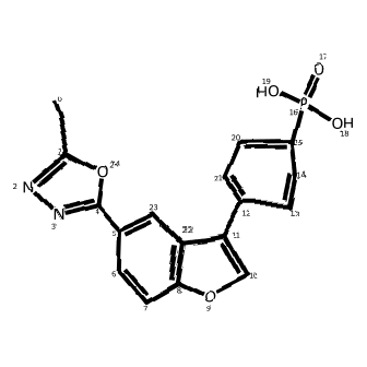 Cc1nnc(-c2ccc3occ(-c4ccc(P(=O)(O)O)cc4)c3c2)o1